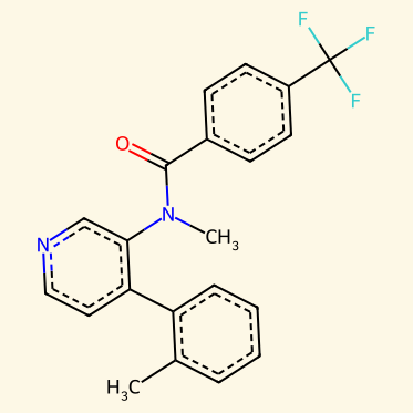 Cc1ccccc1-c1ccncc1N(C)C(=O)c1ccc(C(F)(F)F)cc1